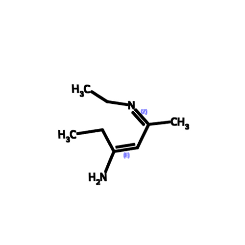 CC/N=C(C)\C=C(\N)CC